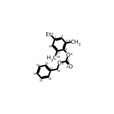 CCc1cc(C)c(OC(=O)OCc2ccccc2)c(C)c1